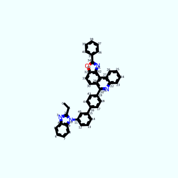 CCc1nc2ccccc2n1-c1cccc(-c2ccc(-c3nc4ccccc4c4c3ccc3oc(-c5ccccc5)nc34)cc2)c1